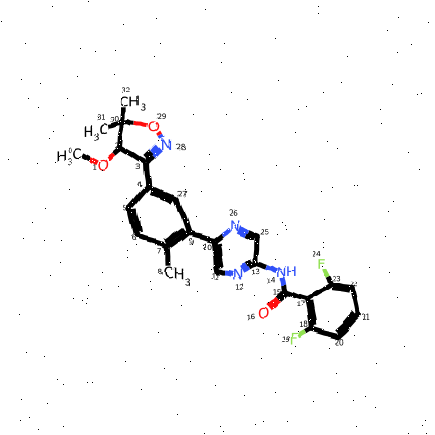 COC1C(c2ccc(C)c(-c3cnc(NC(=O)c4c(F)cccc4F)cn3)c2)=NOC1(C)C